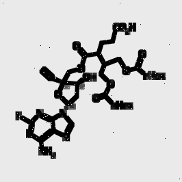 C#C[C@]1(COC(=O)C(CCC(=O)O)C(COC(=O)CCCCCC)COC(=O)CCCCCC)O[C@@H](n2cnc3c(N)nc(F)nc32)C[C@@H]1O